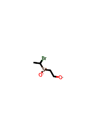 CC(Br)[S+]([O-])CC[O]